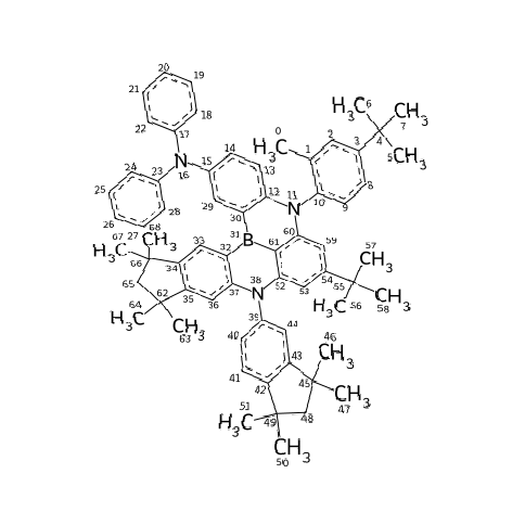 Cc1cc(C(C)(C)C)ccc1N1c2ccc(N(c3ccccc3)c3ccccc3)cc2B2c3cc4c(cc3N(c3ccc5c(c3)C(C)(C)CC5(C)C)c3cc(C(C)(C)C)cc1c32)C(C)(C)CC4(C)C